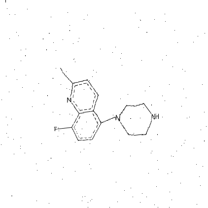 Cc1ccc2c(N3CCNCC3)ccc(F)c2n1